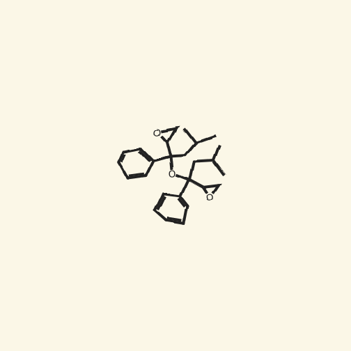 CC(C)CC(OC(CC(C)C)(c1ccccc1)C1CO1)(c1ccccc1)C1CO1